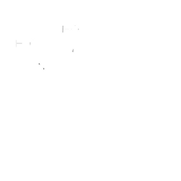 CN(Cc1ccccc1)C[C@H](O)c1ccccc1